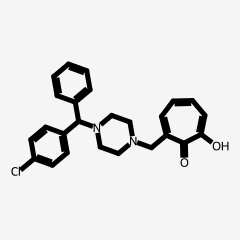 O=c1c(O)ccccc1CN1CCN(C(c2ccccc2)c2ccc(Cl)cc2)CC1